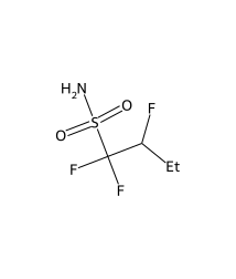 CCC(F)C(F)(F)S(N)(=O)=O